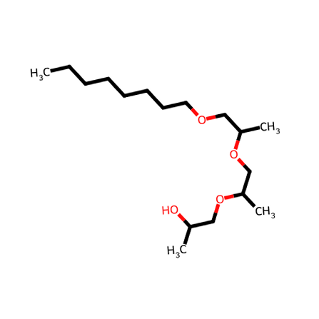 CCCCCCCCOCC(C)OCC(C)OCC(C)O